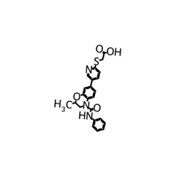 CC1CN(C(=O)Nc2ccccc2)c2ccc(-c3ccc(SCC(=O)O)nc3)cc2O1